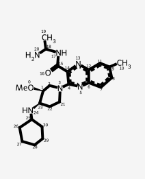 CO[C@H]1CN(c2nc3ccc(C)cc3nc2C(=O)NC(C)N)CC[C@H]1NC1CCCCC1